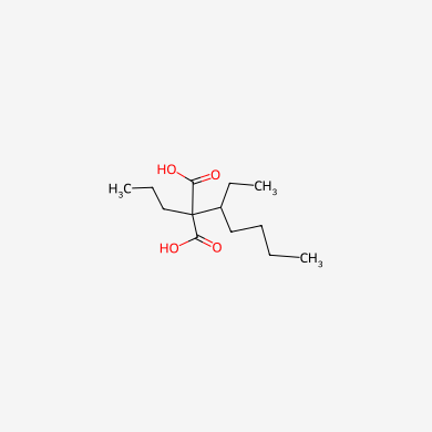 CCCCC(CC)C(CCC)(C(=O)O)C(=O)O